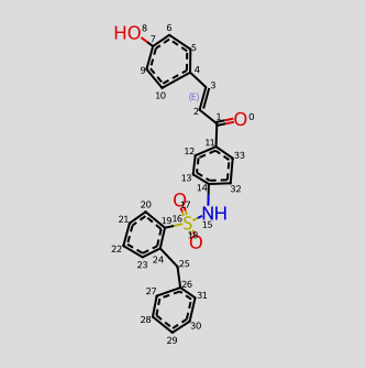 O=C(/C=C/c1ccc(O)cc1)c1ccc(NS(=O)(=O)c2ccccc2Cc2ccccc2)cc1